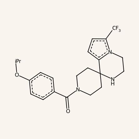 CC(C)Oc1ccc(C(=O)N2CCC3(CC2)NCCn2c(C(F)(F)F)ccc23)cc1